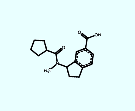 CN(C(=O)C1CCCC1)C1CCc2ccc(C(=O)O)cc21